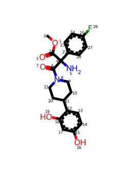 COC(=O)C(N)(C(=O)N1CCC(c2ccc(O)cc2O)CC1)c1ccc(F)cc1